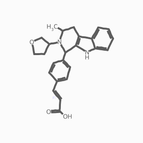 CC1Cc2c([nH]c3ccccc23)C(c2ccc(/C=C/C(=O)O)cc2)N1C1CCOC1